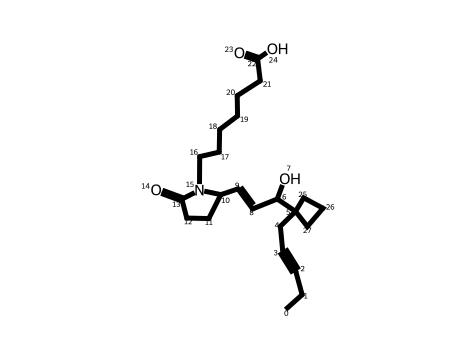 CCC#CCC1(C(O)C=CC2CCC(=O)N2CCCCCCC(=O)O)CCC1